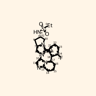 CCS(=O)(=O)N[C@H]1Cc2cn(-c3cnc4cccc(-c5c(F)cccc5F)n34)c(=O)n2C1